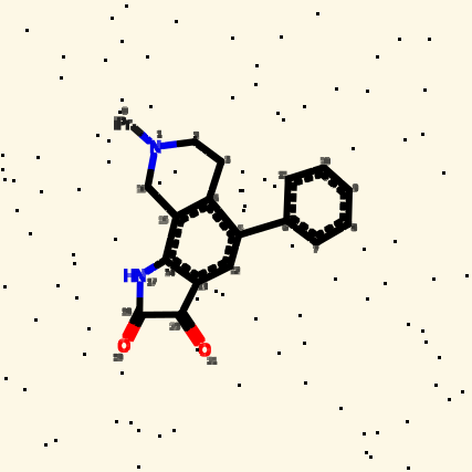 CC(C)N1CCc2c(-c3ccccc3)cc3c(c2C1)NC(=O)C3=O